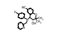 CC1(C)Oc2ccc(C#N)cc2C(N(Cc2ccccn2)c2ccc(F)cc2)[C@H]1O